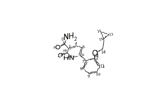 NC(=O)c1ccc(-c2ccccc2OCC2CC2)[nH]c1=O